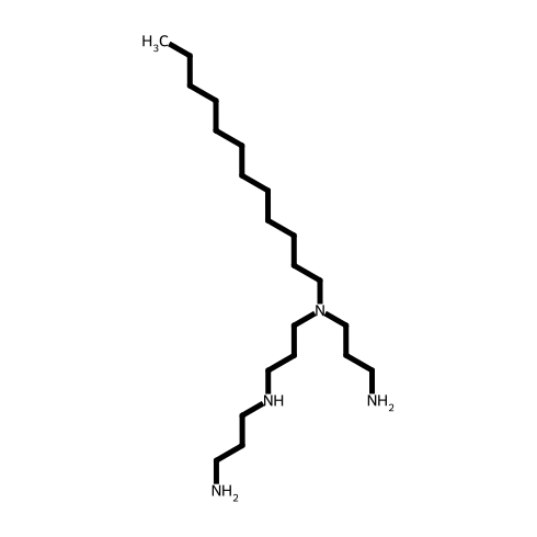 CCCCCCCCCCCCN(CCCN)CCCNCCCN